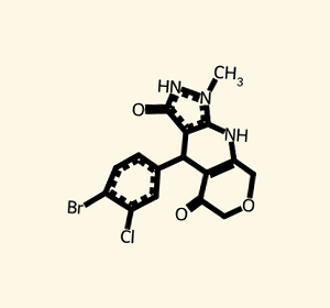 Cn1[nH]c(=O)c2c1NC1=C(C(=O)COC1)C2c1ccc(Br)c(Cl)c1